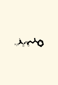 CC(CCC(=O)NNC(N)=S)c1ccccc1